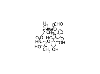 COc1cccc2c1C(=O)c1c(O)c3c(c(O)c1C2=O)CC(O)CC3OC1CC(NC(=O)OCCSC(C)(C)SCCOC=O)C(O)C(C)O1